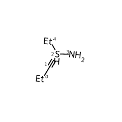 CCC#[SH](N)CC